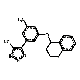 N#Cc1[nH]nnc1-c1cc(OC2CCCc3ccccc32)cc(C(F)(F)F)c1